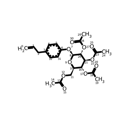 C=CCc1ccc(O[C@@H]2O[C@H](COC(C)=O)[C@@H](OC(C)=O)[C@H](OC(C)=O)[C@H]2OC(C)=O)cc1